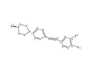 CC[C@H]1CC[C@H](c2ccc(C#Cc3ccc(F)c(F)c3)cc2)CC1